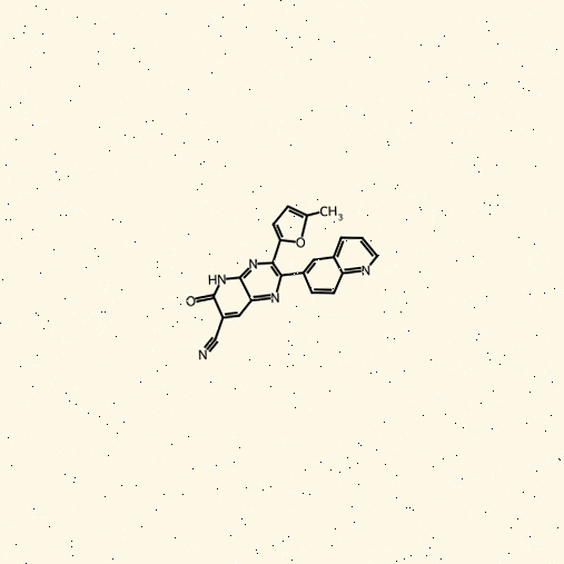 Cc1ccc(-c2nc3[nH]c(=O)c(C#N)cc3nc2-c2ccc3ncccc3c2)o1